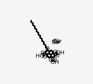 CCCCCCCCCCCCCCCCCCOc1cc(S(=O)(=O)O)c2ccc3c(S(=O)(=O)O)cc(S(=O)(=O)O)c4ccc1c2c43.[Na].[Na].[Na]